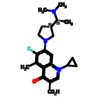 Cc1c(F)c(N2CC[C@H]([C@@H](C)N(C)C)C2)cc2c1c(=O)c(C(=O)O)cn2C1CC1